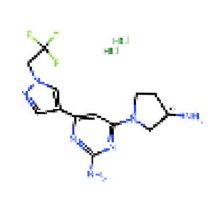 Cl.Cl.Nc1nc(-c2cnn(CC(F)(F)F)c2)cc(N2CC[C@@H](N)C2)n1